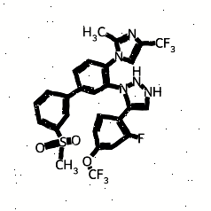 Cc1nc(C(F)(F)F)cn1-c1ccc(-c2cccc(S(C)(=O)=O)c2)cc1N1NNC=C1c1ccc(OC(F)(F)F)cc1F